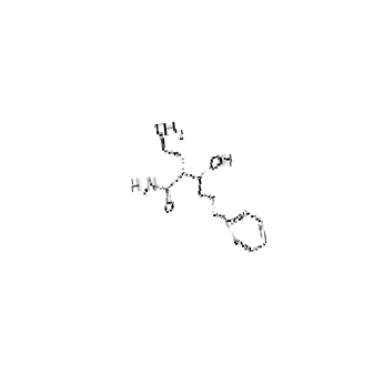 C=CC[C@@H](C(N)=O)[C@H](O)CCCc1ccccc1